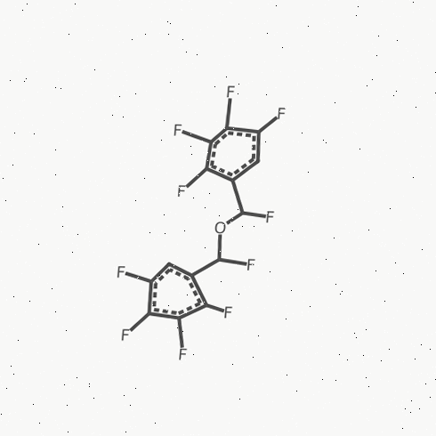 Fc1cc(C(F)OC(F)c2cc(F)c(F)c(F)c2F)c(F)c(F)c1F